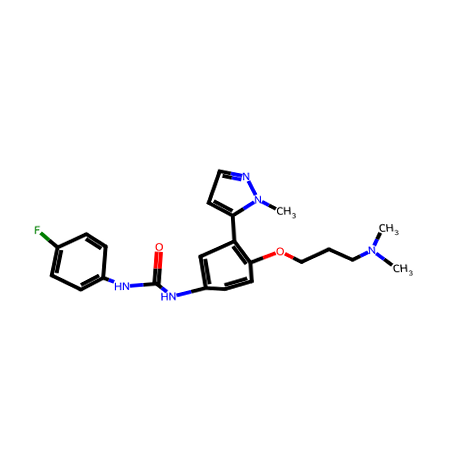 CN(C)CCCOc1ccc(NC(=O)Nc2ccc(F)cc2)cc1-c1ccnn1C